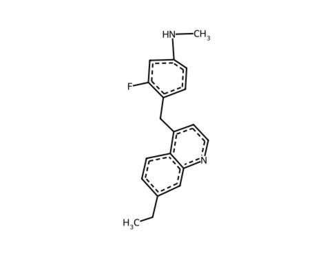 CCc1ccc2c(Cc3ccc(NC)cc3F)ccnc2c1